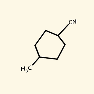 CC1CC[C](C#N)CC1